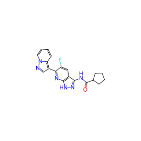 O=C(Nc1n[nH]c2nc(-c3cnn4ccccc34)c(F)cc12)C1CCCC1